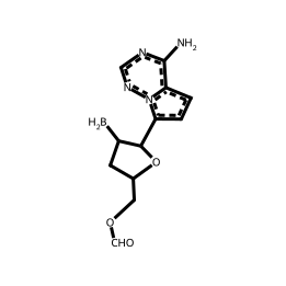 BC1CC(COC=O)OC1c1ccc2c(N)ncnn12